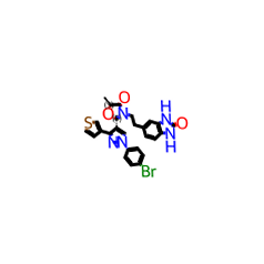 C[C@@H]1O[C@@H](c2cn(-c3ccc(Br)cc3)nc2-c2ccsc2)N(CCc2ccc3[nH]c(=O)[nH]c3c2)C1=O